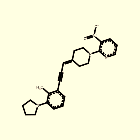 Cc1c(C#CC=C2CCN(c3ncccc3[N+](=O)[O-])CC2)cccc1N1CCCC1